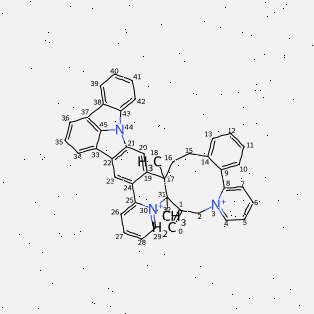 C=C1C[n+]2ccccc2-c2ccccc2CCC2(C)c3cc4c(cc3-c3cccc[n+]3C12C)c1cccc2c3ccccc3n4c21